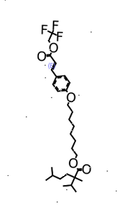 CC(C)CCC(C)(C(=O)OCCCCCCCCOc1ccc(/C=C/C(=O)OCC(F)(F)F)cc1)C(C)C